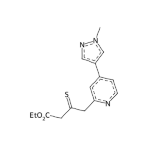 CCOC(=O)CC(=S)Cc1cc(-c2cnn(C)c2)ccn1